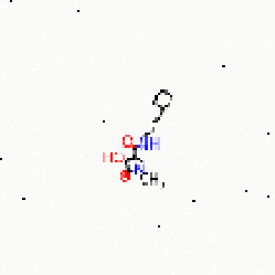 CN1CC(C(=O)NCCCCC2CCCCC2)=C(O)C1=O